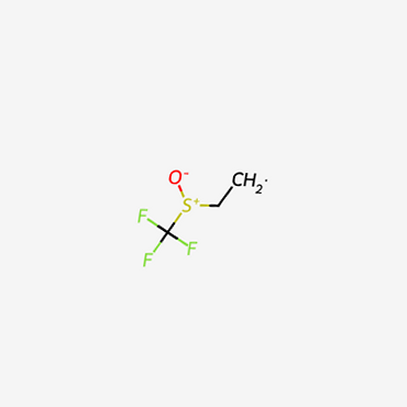 [CH2]C[S+]([O-])C(F)(F)F